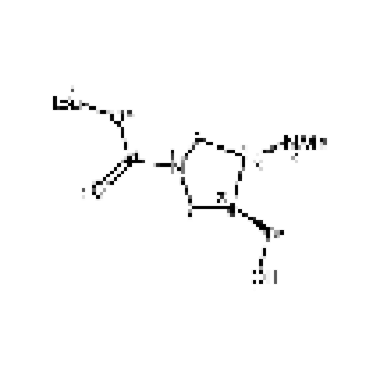 CN[C@H]1CN(C(=O)OC(C)(C)C)C[C@@H]1CO